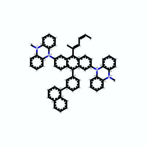 C/C=C\C=C(/C)c1c2cc(N3c4ccccc4N(C)c4ccccc43)ccc2c(-c2cccc(-c3cccc4ccccc34)c2)c2cc(N3c4ccccc4N(C)c4ccccc43)ccc12